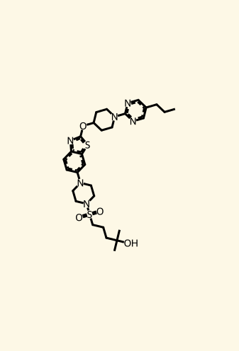 CCCc1cnc(N2CCC(Oc3nc4ccc(N5CCN(S(=O)(=O)CCCC(C)(C)O)CC5)cc4s3)CC2)nc1